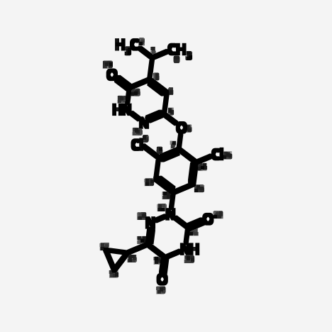 CC(C)c1cc(Oc2c(Cl)cc(-n3nc(C4CC4)c(=O)[nH]c3=O)cc2Cl)n[nH]c1=O